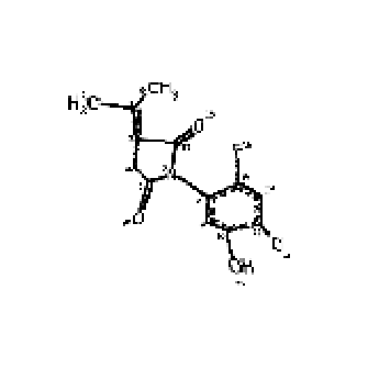 CC(C)=C1CC(=O)N(c2cc(O)c(Cl)cc2F)C1=O